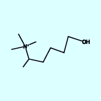 CC(CCCCO)[N+](C)(C)C